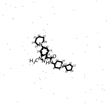 Cn1nc(C(=O)NC2CCN(C3CCCC3)CC2)c2ccc(N3CCCCCC3)cc21